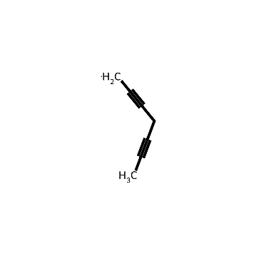 [CH2]C#CCC#CC